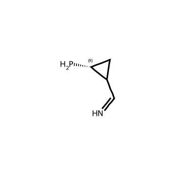 N=CC1C[C@H]1P